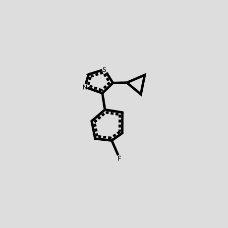 Fc1ccc(-c2n[c]sc2C2CC2)cc1